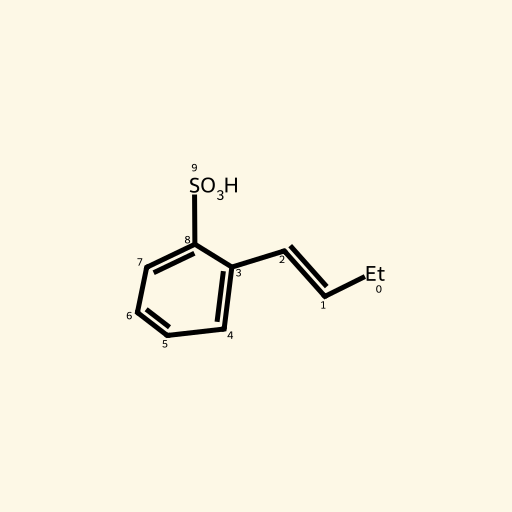 CC/C=C/c1ccccc1S(=O)(=O)O